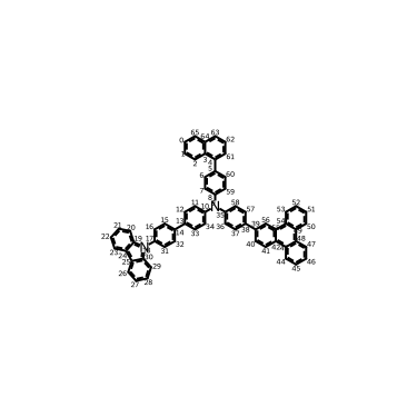 c1ccc2c(-c3ccc(N(c4ccc(-c5ccc(-n6c7ccccc7c7ccccc76)cc5)cc4)c4ccc(-c5ccc6c7ccccc7c7ccccc7c6c5)cc4)cc3)cccc2c1